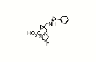 O=C(O)[C@@H]1C[C@@H](F)CN1CC1(CN[C@@H]2CC2c2ccccc2)CC1